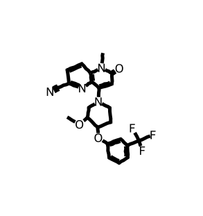 COC1CN(c2cc(=O)n(C)c3ccc(C#N)nc23)CCC1Oc1cccc(C(F)(F)F)c1